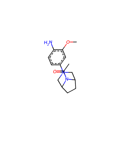 COc1cc(N2CC3CCC(C2)N3C(C)=O)ccc1N